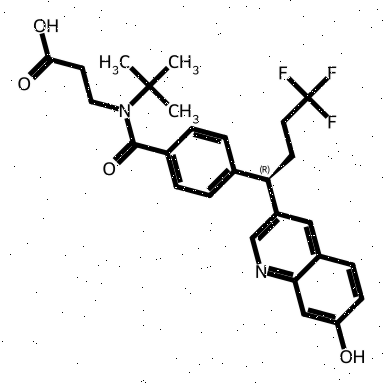 CC(C)(C)N(CCC(=O)O)C(=O)c1ccc([C@@H](CCC(F)(F)F)c2cnc3cc(O)ccc3c2)cc1